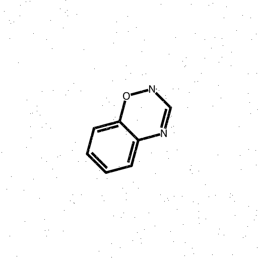 C1=Nc2ccccc2O[N]1